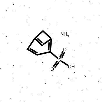 N.O=S(=O)(O)c1ccc2cc1C2